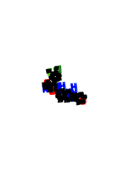 O=C(N[C@H](c1ccc(Cl)c(F)c1)c1nnco1)N1CCc2cnc(NC3CCOCC3)nc2C1